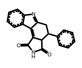 O=C1NC(=O)C2C1=C1C(=Nc3ccccc31)CC2c1ccccc1